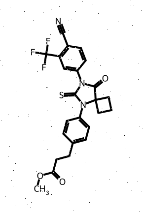 COC(=O)CCc1ccc(N2C(=S)N(c3ccc(C#N)c(C(F)(F)F)c3)C(=O)C23CCC3)cc1